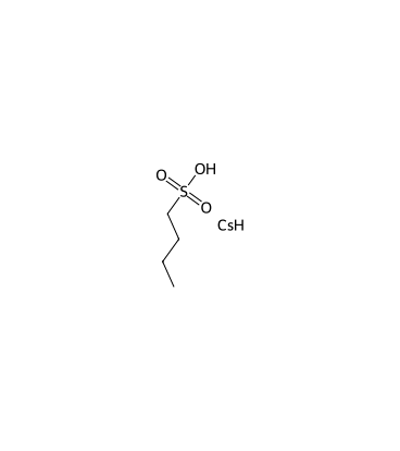 CCCCS(=O)(=O)O.[CsH]